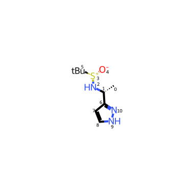 C[C@@H](N[S@+]([O-])C(C)(C)C)c1cc[nH]n1